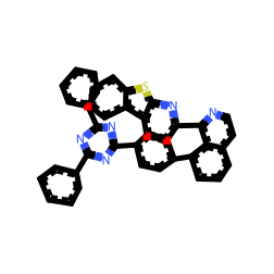 c1ccc(-c2nc(-c3ccccc3)nc(-c3ccc(-c4cccc5ccnc(-c6ccc7c(n6)sc6ccccc67)c45)cc3)n2)cc1